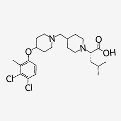 Cc1c(OC2CCN(CC3CCN([C@@H](CC(C)C)C(=O)O)CC3)CC2)ccc(Cl)c1Cl